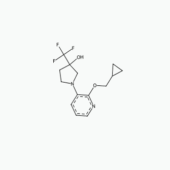 OC1(C(F)(F)F)CCN(c2cccnc2OCC2CC2)C1